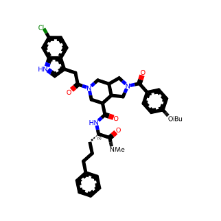 CNC(=O)[C@H](CCCc1ccccc1)NC(=O)C1CN(C(=O)Cc2c[nH]c3cc(Cl)ccc23)CC2CN(C(=O)c3ccc(OCC(C)C)cc3)CC21